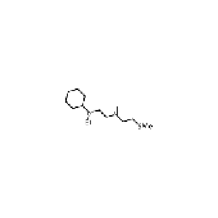 CCN(CCNCCSC)C1CCCCC1